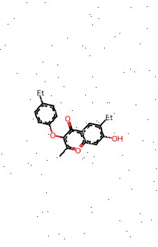 CCc1ccc(Oc2c(C)oc3cc(O)c(CC)cc3c2=O)cc1